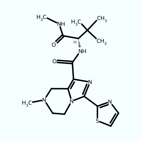 CNC(=O)[C@@H](NC(=O)c1nc(-c2nccs2)n2c1CN(C)CC2)C(C)(C)C